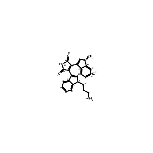 Cl.Cn1cc(C2=C(c3cn(CCCN)c4ccccc34)C(=O)NC2=O)c2ccccc21